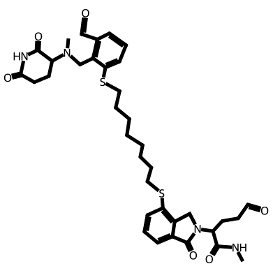 CNC(=O)C(CCC=O)N1Cc2c(SCCCCCCCCSc3cccc(C=O)c3CN(C)C3CCC(=O)NC3=O)cccc2C1=O